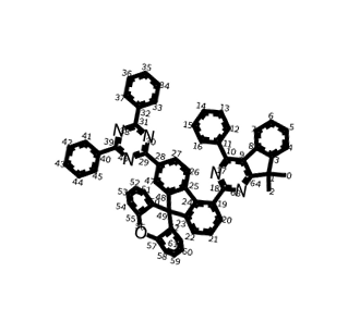 CC1(C)c2ccccc2-c2c(-c3ccccc3)nc(-c3cccc4c3-c3ccc(-c5nc(-c6ccccc6)nc(-c6ccccc6)n5)cc3C43c4ccccc4Oc4ccccc43)nc21